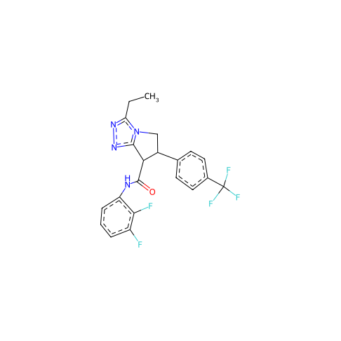 CCc1nnc2n1CC(c1ccc(C(F)(F)F)cc1)C2C(=O)Nc1cccc(F)c1F